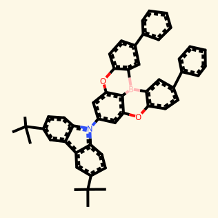 CC(C)(C)c1ccc2c(c1)c1cc(C(C)(C)C)ccc1n2-c1cc2c3c(c1)Oc1ccc(-c4ccccc4)cc1B3c1cc(-c3ccccc3)ccc1O2